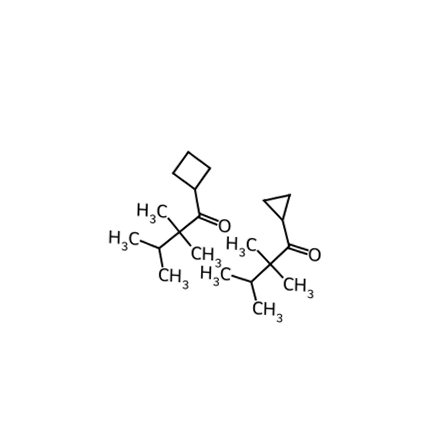 CC(C)C(C)(C)C(=O)C1CC1.CC(C)C(C)(C)C(=O)C1CCC1